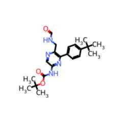 CC(C)(C)OC(=O)Nc1cnc(CNC=O)c(-c2ccc(C(C)(C)C)cc2)n1